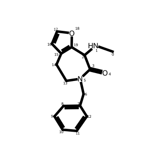 CNC1C(=O)N(Cc2ccccc2)CCc2ccoc21